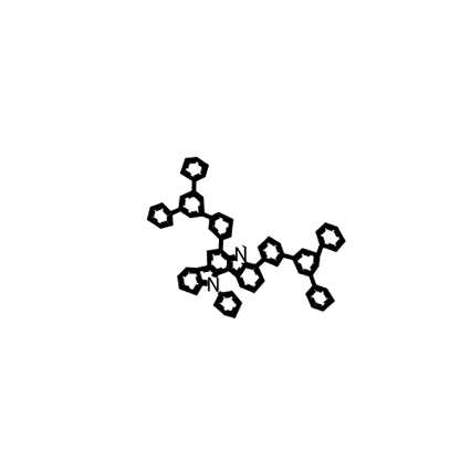 Cn1c2c(-c3cccc(-c4cc(-c5ccccc5)cc(-c5ccccc5)c4)c3)cccc2c2c1c(-c1cccc(-c3cc(-c4ccccc4)cc(-c4ccccc4)c3)c1)cc1c3ccccc3n(-c3ccccc3)c12